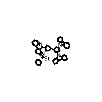 CCc1nc2c3c(-c4ccc(-c5cc(-n6c7ccccc7c7ccccc76)cc(-n6c7ccccc7c7ccccc76)c5)cc4)nc4ccccc4c3ccc2n1-c1ccccc1